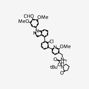 COc1cc(-n2ncc3c(-c4cccc(-c5ccc(CN(C[C@@H]6CCC(=O)N6)C(=O)OC(C)(C)C)c(OC)n5)c4Cl)cccc32)cc(OC)c1C=O